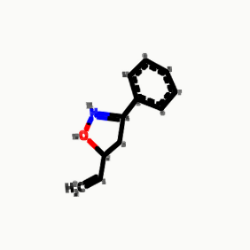 C=CC1CC(c2ccccc2)=NO1